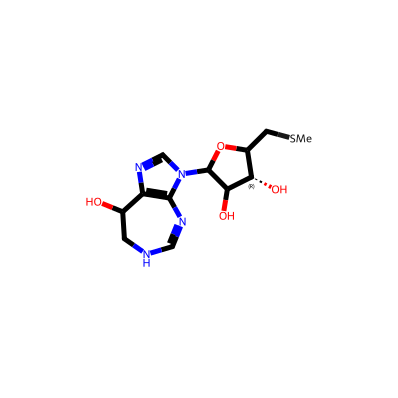 CSCC1OC(n2cnc3c2N=CNCC3O)C(O)[C@H]1O